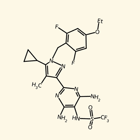 CCOc1cc(F)c(Cn2nc(-c3nc(N)c(NS(=O)(=O)C(F)(F)F)c(N)n3)c(C)c2C2CC2)c(F)c1